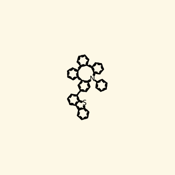 c1ccc(-n2c3ccccc3c3ccccc3c3ccccc3c3cc(-c4cccc5c4sc4ccccc45)ccc32)cc1